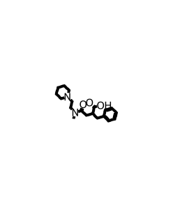 CN(CCN1CCCCC1)C(=O)CC(Cc1ccccc1)C(=O)O